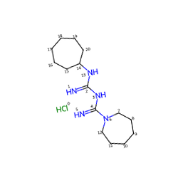 Cl.N=C(NC(=N)N1CCCCCC1)NC1CCCCCC1